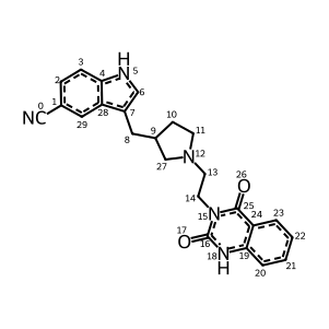 N#Cc1ccc2[nH]cc(CC3CCN(CCn4c(=O)[nH]c5ccccc5c4=O)C3)c2c1